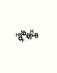 Fc1cccc(Nc2cc(-c3ccnc(NCC4CCCO4)n3)ccn2)c1